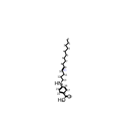 CCCCCCCCC/C=C/CCCNc1ccc(C(=O)O)cc1